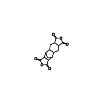 O=C1OC(=O)C2CC3C(CC12)C1CC3C2C(=O)OC(=O)C12